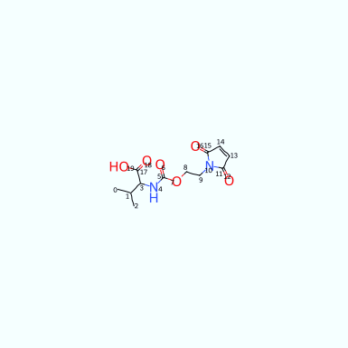 CC(C)C(NC(=O)OCCN1C(=O)C=CC1=O)C(=O)O